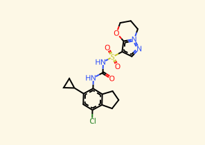 O=C(Nc1c(C2CC2)cc(Cl)c2c1CCC2)NS(=O)(=O)c1cnn2c1OCCC2